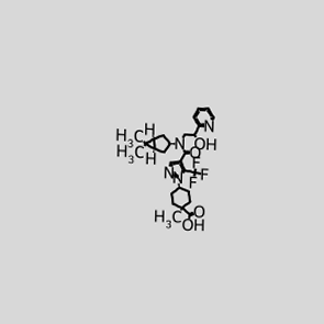 CC1(C)[C@@H]2C[C@H](N(CC(O)c3ccccn3)C(=O)c3cnn([C@H]4CC[C@](C)(C(=O)O)CC4)c3C(F)(F)F)C[C@@H]21